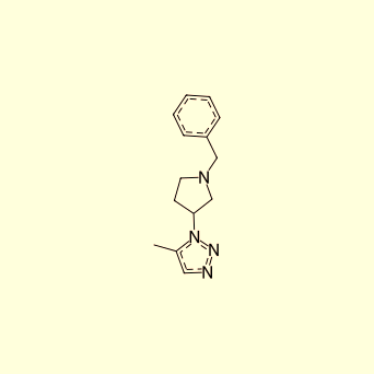 Cc1cnnn1C1CCN(Cc2ccccc2)C1